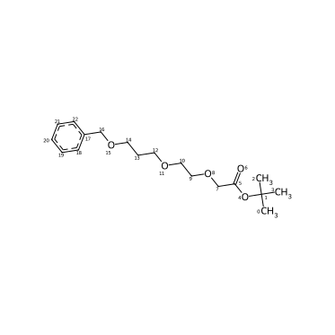 CC(C)(C)OC(=O)COCCOCCCOCc1ccccc1